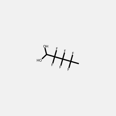 CC(F)(F)C(F)(F)C(F)(F)C(O)O